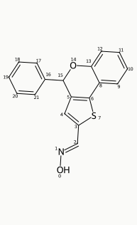 ON=Cc1cc2c(s1)-c1ccccc1OC2c1ccccc1